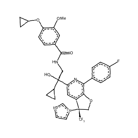 COc1cc(C(=O)NCC(O)(c2cc3c(c(-c4ccc(F)cc4)n2)OC[C@@]3(n2ccnc2)C(F)(F)F)C2CC2)ccc1OC1CC1